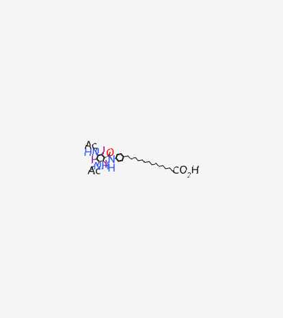 CC(=O)CNc1c(I)c(NCC(C)=O)c(I)c(C(=O)Nc2ccc(CCCCCCCCCCCCCCC(=O)O)cc2)c1I